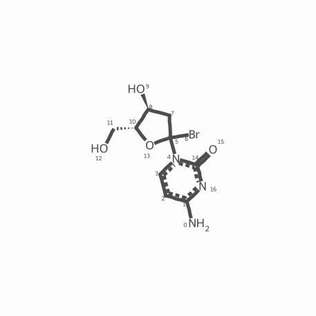 Nc1ccn(C2(Br)C[C@H](O)[C@@H](CO)O2)c(=O)n1